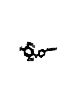 COc1ccc(Oc2cc(N)c(F)cc2C#N)cc1